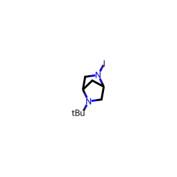 CC(C)(C)N1CC2CC1CN2I